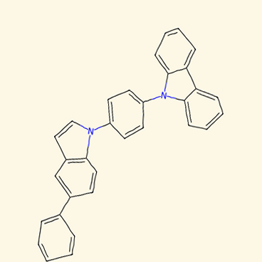 c1ccc(-c2ccc3c(ccn3-c3ccc(-n4c5ccccc5c5ccccc54)cc3)c2)cc1